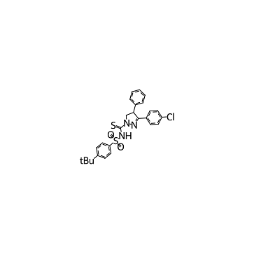 CC(C)(C)c1ccc(S(=O)(=O)NC(=S)N2CC(c3ccccc3)C(c3ccc(Cl)cc3)=N2)cc1